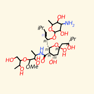 COC(OC(CO)C(C)O)C(O)C(C)NC(=O)[C@H]1[C@H](C[C@H](/C=C/C(C)C)OC2OC(C)C(O)C(N)C2O)O[C@](O)(C[C@@H](O)C(C)C)C[C@@H]1O